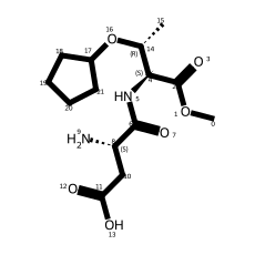 COC(=O)[C@@H](NC(=O)[C@@H](N)CC(=O)O)[C@@H](C)OC1CCCC1